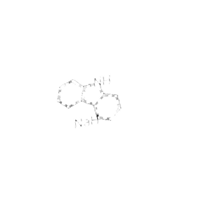 [NaH].c1ccc2c(c1)[nH]c1ccccc12